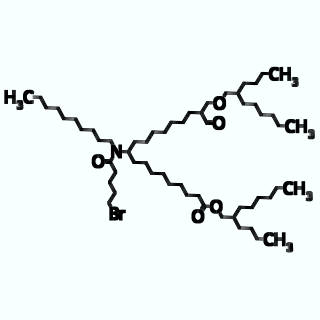 CCCCCCCCCCN(C(=O)CCCCBr)C(CCCCCCCCC(=O)OCC(CCCC)CCCCCC)CCCCCCCC(C=O)COCC(CCCC)CCCCCC